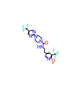 COc1ncc(CCNC(=O)N2CCN(c3ncc(C(F)(F)F)cn3)CC2)cc1C(F)(F)F